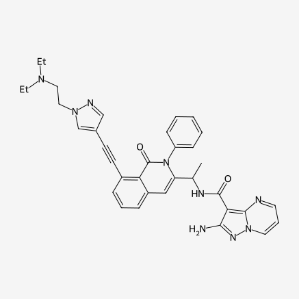 CCN(CC)CCn1cc(C#Cc2cccc3cc(C(C)NC(=O)c4c(N)nn5cccnc45)n(-c4ccccc4)c(=O)c23)cn1